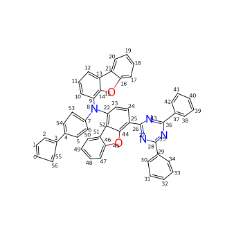 c1ccc(-c2ccc(N(c3cccc4c3oc3ccccc34)c3ccc(-c4nc(-c5ccccc5)nc(-c5ccccc5)n4)c4oc5ccccc5c34)cc2)cc1